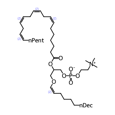 CCCCC/C=C\C/C=C\C/C=C\C/C=C\CCCCCC(=O)OC(CO/C=C\CCCCCCCCCCCCCC)COP(=O)([O-])OCC[N+](C)(C)C